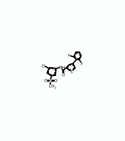 CS(=O)(=O)c1cc(Cl)cc(NC(=O)c2cc(-c3c(F)cccc3F)cs2)c1